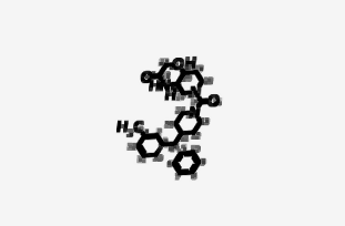 CC1=C[C@@H]([C@@H](c2ccccc2)C2CCN(C(=O)N3CC[C@@H]4OCC(=O)N[C@@H]4C3)CC2)CC=C1